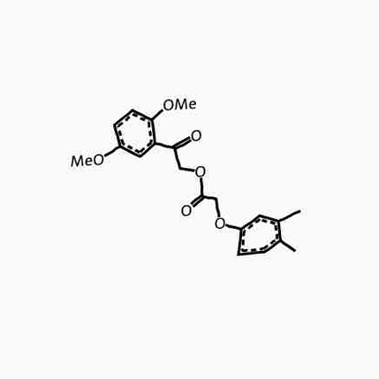 COc1ccc(OC)c(C(=O)COC(=O)COc2ccc(C)c(C)c2)c1